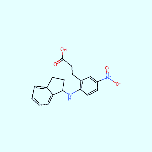 O=C(O)CCc1cc([N+](=O)[O-])ccc1NC1CCc2ccccc21